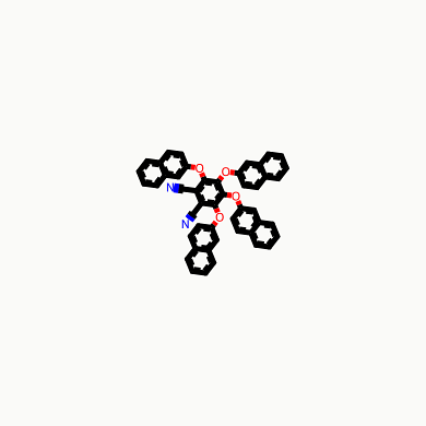 N#Cc1c(C#N)c(Oc2ccc3ccccc3c2)c(Oc2ccc3ccccc3c2)c(Oc2ccc3ccccc3c2)c1Oc1ccc2ccccc2c1